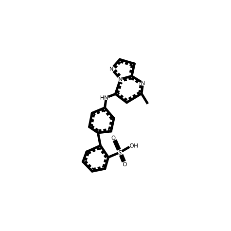 Cc1cc(Nc2ccc(-c3ccccc3S(=O)(=O)O)cc2)n2nccc2n1